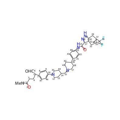 CNC(=O)CCC(C=O)c1ccc(N2CCC(CN3CCC(c4ccc(NC(=O)c5n[nH]c6c5CC5C(F)(F)C5(C)C6)cc4)CC3)CC2)cc1